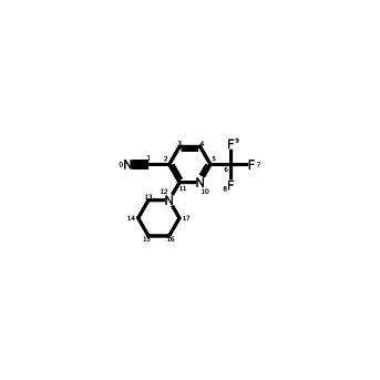 N#Cc1ccc(C(F)(F)F)nc1N1CCCCC1